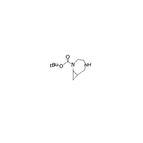 CC(C)(C)OC(=O)N1CCNCC2CC21